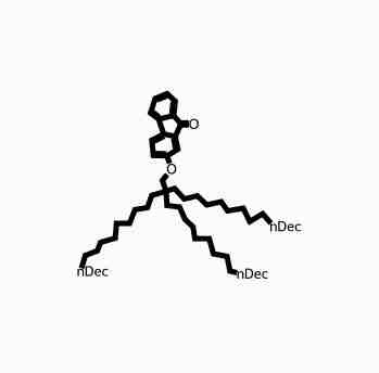 CCCCCCCCCCCCCCCCCCCC(CCCCCCCCCCCCCCCCCCC)(CCCCCCCCCCCCCCCCCCC)COc1ccc2c(c1)C(=O)c1ccccc1-2